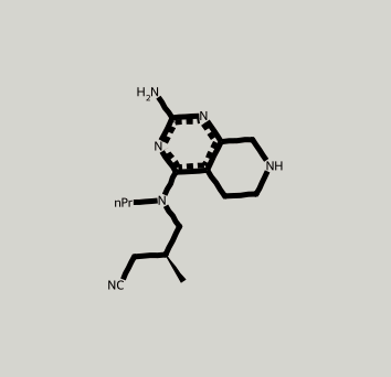 CCCN(C[C@@H](C)CC#N)c1nc(N)nc2c1CCNC2